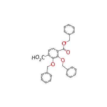 O=C(O)c1ccc(C(=O)OCc2ccccc2)c(OCc2ccccc2)c1OCc1ccccc1